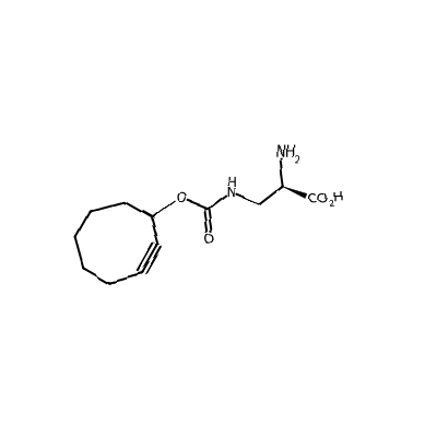 N[C@H](CNC(=O)OC1C#CCCCCC1)C(=O)O